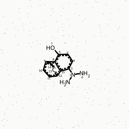 NN(N)c1ccc(O)c2c3ccc(cc3)c12